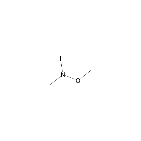 CON(C)I